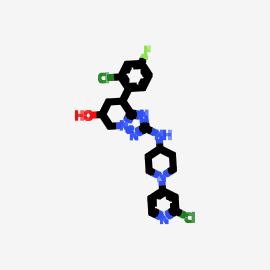 OC1CC(c2ccc(F)cc2Cl)c2nc(NC3CCN(c4ccnc(Cl)c4)CC3)nn2C1